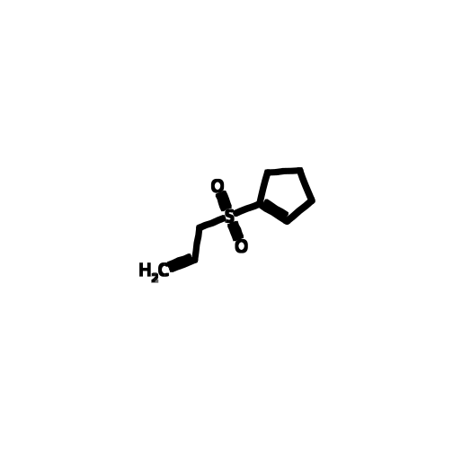 C=CCS(=O)(=O)C1=CCCC1